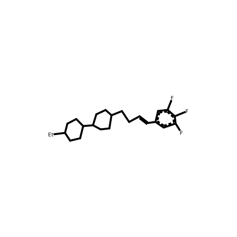 CCC1CCC(C2CCC(CCC=Cc3cc(F)c(F)c(F)c3)CC2)CC1